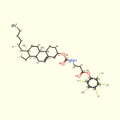 CC(C)CCC[C@@H](C)[C@H]1CCC2C3CC=C4CC(OC(=O)NCCC(=O)Oc5c(F)c(F)c(F)c(F)c5F)CC[C@]4(C)C3CC[C@@]21C